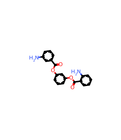 Nc1cccc(C(=O)Oc2cccc(OC(=O)c3ccccc3N)c2)c1